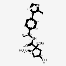 Cc1ncsc1-c1ccc([C@H](C)NC(=O)C2(C(C)(C)C)CC(O)CN2C(=O)O)cc1